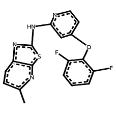 Cc1ccc2nc(Nc3cc(Oc4c(F)cccc4F)ccn3)sc2n1